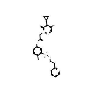 Cc1ccc(NC(=O)Cn2ncc(Cl)c(C3CC3)c2=O)cc1S(=O)(=O)NCCc1ccccn1